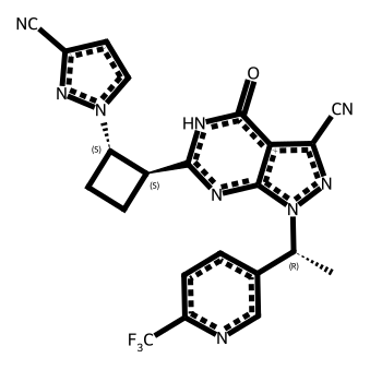 C[C@H](c1ccc(C(F)(F)F)nc1)n1nc(C#N)c2c(=O)[nH]c([C@H]3CC[C@@H]3n3ccc(C#N)n3)nc21